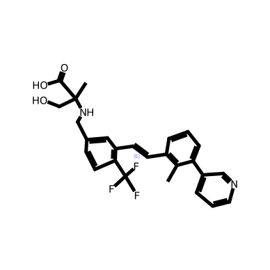 Cc1c(/C=C/c2cc(CNC(C)(CO)C(=O)O)ccc2C(F)(F)F)cccc1-c1cccnc1